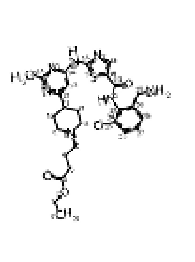 CCOC(=O)CCCN1CCC(c2cc(Nc3ncc(C(=O)Nc4c(Cl)cccc4CN)s3)nc(C)n2)CC1